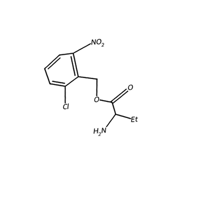 CCC(N)C(=O)OCc1c(Cl)cccc1[N+](=O)[O-]